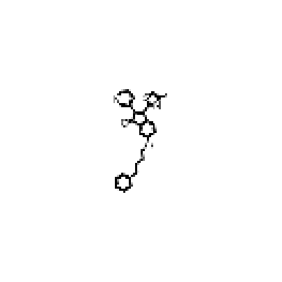 Cc1csc(C2=C(c3cccnc3)C(=O)c3cc(OCCCCc4ccccc4)ccc32)n1